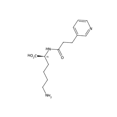 NCCCC[C@H](NC(=O)CCc1cccnc1)C(=O)O